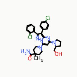 CC1(C(N)=O)CCN(c2cc(N3CCCC3CO)nc3c(-c4ccc(Cl)cc4)c(-c4ccccc4Cl)nn23)CC1